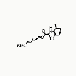 CCc1cccc(C)c1NC(C)C(=O)OCCOCCOC